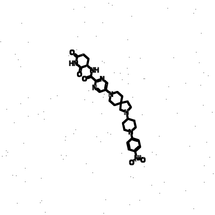 O=C1CCC(NC(=O)c2ncc(N3CCC4(CC3)CCN(C3CCN(c5ccc([N+](=O)[O-])cc5)CC3)C4)cn2)C(=O)N1